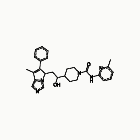 CC1=C(c2ccccc2)C(CC(O)C2CCN(C(=O)Nc3cccc(C)n3)CC2)n2cncc21